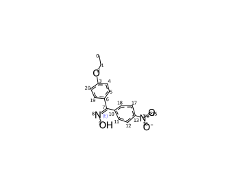 CCOc1ccc(/C(=N/O)c2ccc([N+](=O)[O-])cc2)cc1